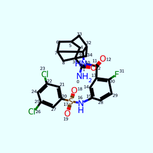 NC(=O)C12CC3CC(C1)C(NC(=O)c1cc(NS(=O)(=O)c4cc(Cl)cc(Cl)c4)ccc1F)C(C3)C2